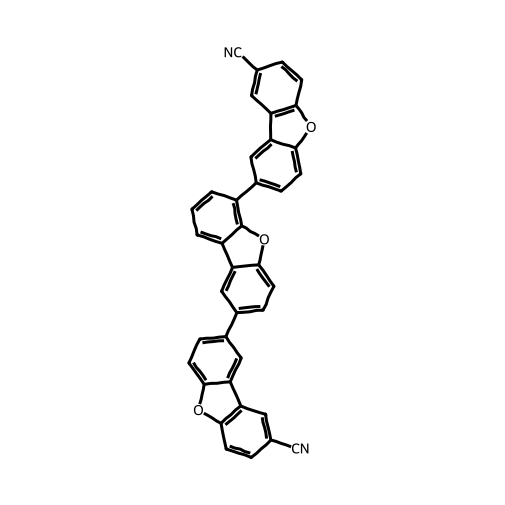 N#Cc1ccc2oc3ccc(-c4ccc5oc6c(-c7ccc8oc9ccc(C#N)cc9c8c7)cccc6c5c4)cc3c2c1